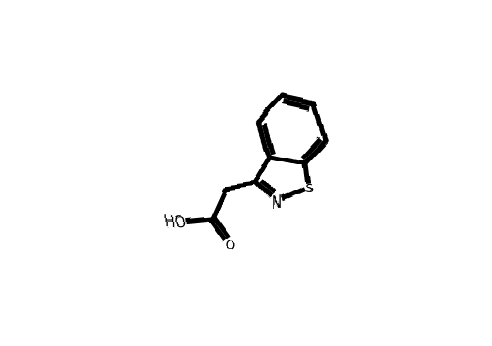 O=C(O)Cc1nsc2ccccc12